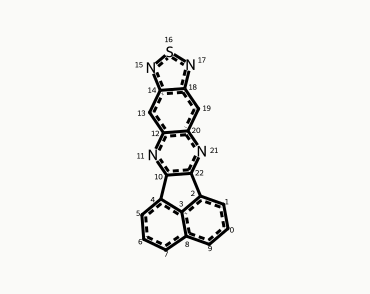 c1cc2c3c(cccc3c1)-c1nc3cc4nsnc4cc3nc1-2